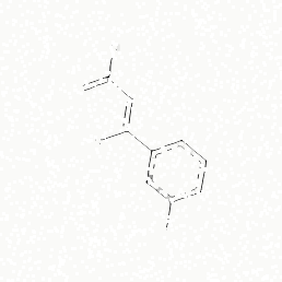 NC(=S)C=C(N)c1cccc(F)c1